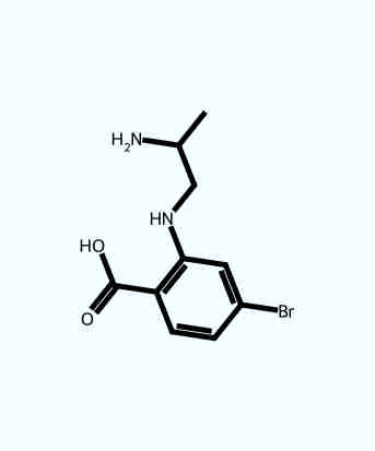 CC(N)CNc1cc(Br)ccc1C(=O)O